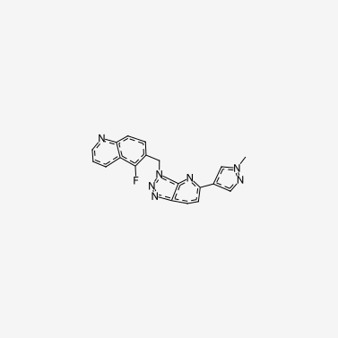 Cn1cc(-c2ccc3nnn(Cc4ccc5ncccc5c4F)c3n2)cn1